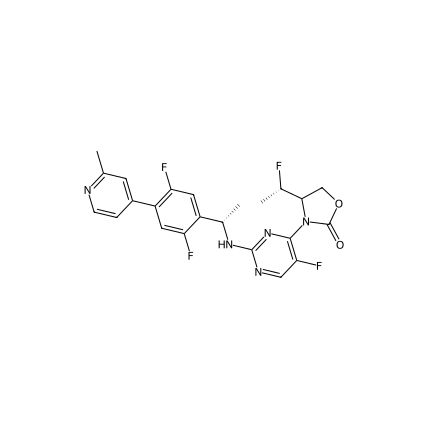 Cc1cc(-c2cc(F)c([C@H](C)Nc3ncc(F)c(N4C(=O)OCC4[C@H](C)F)n3)cc2F)ccn1